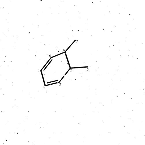 C[C]1C=C[C]=CC1C